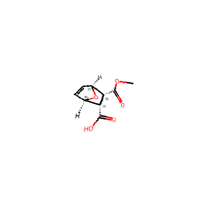 COC(=O)[C@@H]1[C@H](C(=O)O)[C@H]2C=C[C@@H]1O2